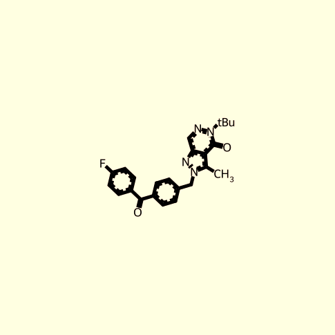 Cc1c2c(=O)n(C(C)(C)C)ncc2nn1Cc1ccc(C(=O)c2ccc(F)cc2)cc1